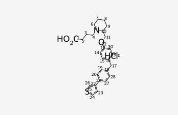 Cl.O=C(O)CCCN1CCCCC1COc1ccc(Cc2ccc(-c3ccsc3)cc2)cc1